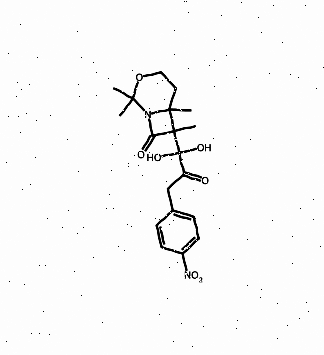 CC1(C)OCCC2(C)N1C(=O)C2(C)C(O)(O)C(=O)Cc1ccc([N+](=O)[O-])cc1